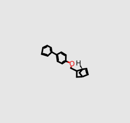 C1=C[C@@H]2CC1CC2COc1ccc(-c2ccccc2)cc1